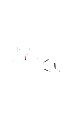 Cc1ccc(C(CC(=O)O)OC(=O)CCS)c(C)c1